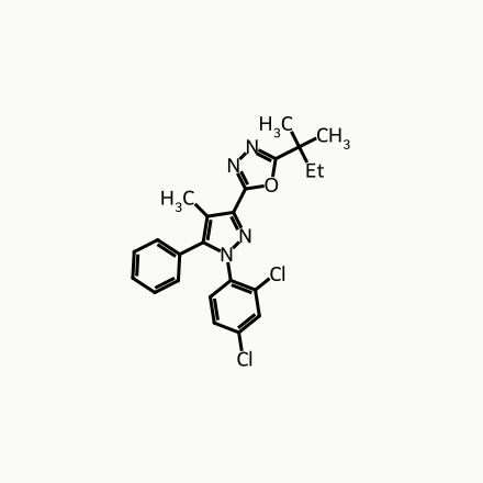 CCC(C)(C)c1nnc(-c2nn(-c3ccc(Cl)cc3Cl)c(-c3ccccc3)c2C)o1